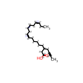 CC#CCC(CCCCC/C=C\C/C=C\C/C=C\CC)CC(=O)O